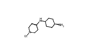 CCN1CCC(NC2CCC(N)CC2)CC1